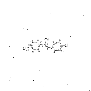 [O-][N+](=Cc1ccc(Cl)cc1)c1ccc(Cl)cc1